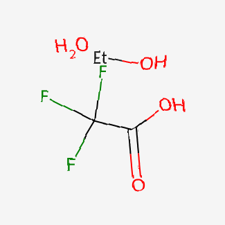 CCO.O.O=C(O)C(F)(F)F